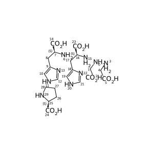 NCC(=O)O.NCC(=O)O.N[C@@H](Cc1c[nH]cn1)C(=O)O.N[C@@H](Cc1c[nH]cn1)C(=O)O.O=C(O)[C@@H]1CCCN1